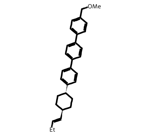 CC/C=C/[C@H]1CC[C@H](c2ccc(-c3ccc(-c4ccc(COC)cc4)cc3)cc2)CC1